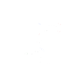 O=Cc1ccc(Cl)cc1NC(=O)COc1cc(C(=O)O)ccn1